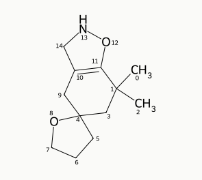 CC1(C)CC2(CCCO2)CC2=C1ONC2